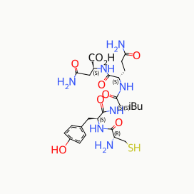 CC[C@H](C)[C@H](NC(=O)[C@H](Cc1ccc(O)cc1)NC(=O)[C@@H](N)CS)C(=O)N[C@@H](CCC(N)=O)C(=O)N[C@@H](CC(N)=O)C(=O)O